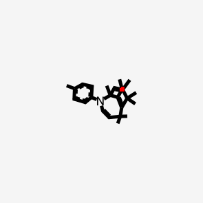 CCC1=C2C(C)(C)C=CN(c3ccc(C)cc3)C1(C)C=C(C)C2(C)C